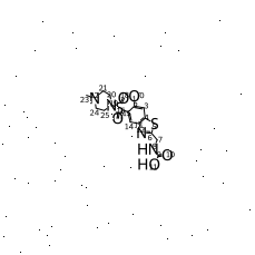 COc1cc2sc(CNC(=O)O)nc2cc1S(=O)(=O)N1CCN(C)CC1